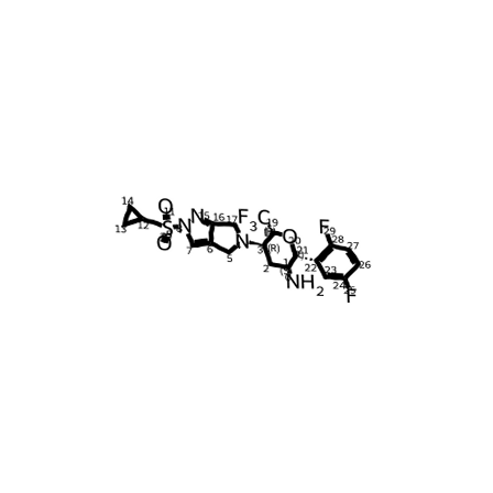 N[C@H]1C[C@@H](N2Cc3cn(S(=O)(=O)C4CC4)nc3C2)[C@H](C(F)(F)F)O[C@@H]1c1cc(F)ccc1F